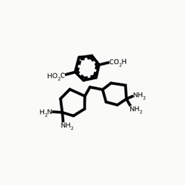 NC1(N)CCC(CC2CCC(N)(N)CC2)CC1.O=C(O)c1ccc(C(=O)O)cc1